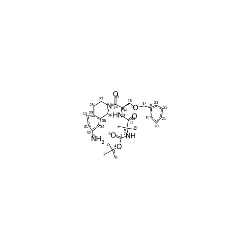 CC(C)(C)OC(=O)NC(C)(C)C(=O)N[C@H](COCc1ccccc1)C(=O)N1CCc2ccc(N)cc2C1